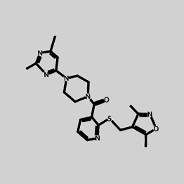 Cc1cc(N2CCN(C(=O)c3cccnc3SCc3c(C)noc3C)CC2)nc(C)n1